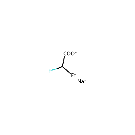 CCC(F)C(=O)[O-].[Na+]